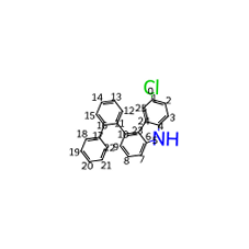 Clc1ccc2[nH]c3cccc(-c4ccccc4-c4ccccc4)c3c2c1